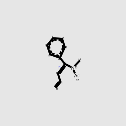 C=C/C=C(/c1ccccc1)N(C)C(C)=O